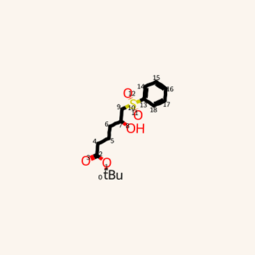 CC(C)(C)OC(=O)CCCC(O)CS(=O)(=O)c1ccccc1